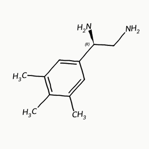 Cc1cc([C@@H](N)CN)cc(C)c1C